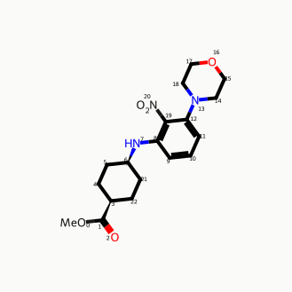 COC(=O)[C@H]1CC[C@@H](Nc2cccc(N3CCOCC3)c2[N+](=O)[O-])CC1